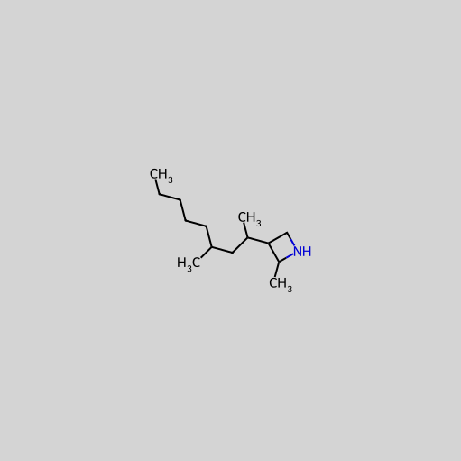 CCCCCC(C)CC(C)C1CNC1C